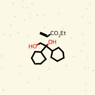 C=CC(=O)OCC.OCC(O)(C1CCCCC1)C1CCCCC1